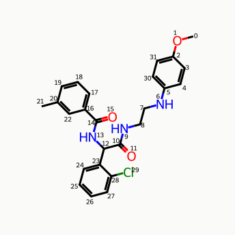 COc1ccc(NCCNC(=O)C(NC(=O)c2cccc(C)c2)c2ccccc2Cl)cc1